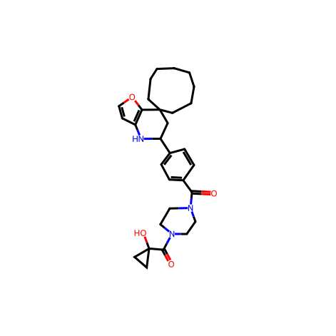 O=C(c1ccc(C2CC3(CCCCCCCC3)c3occc3N2)cc1)N1CCN(C(=O)C2(O)CC2)CC1